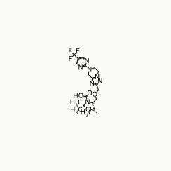 CC[C@@H](COCc1nc2n(n1)CCN(c1ncc(C(F)(F)F)cn1)C2)N(C(=O)O)C(C)(C)C